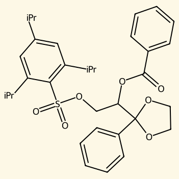 CC(C)c1cc(C(C)C)c(S(=O)(=O)OCC(OC(=O)c2ccccc2)C2(c3ccccc3)OCCO2)c(C(C)C)c1